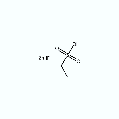 CCS(=O)(=O)O.F.[Zn]